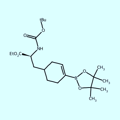 CCOC(=O)[C@H](CC1CC=C(B2OC(C)(C)C(C)(C)O2)CC1)NC(=O)OC(C)(C)C